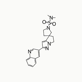 CN(C)S(=O)(=O)N1CCC2(CCn3nc(-c4cnc5ccccc5c4)cc32)C1